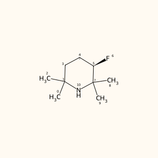 CC1(C)C[CH][C@@H](F)C(C)(C)N1